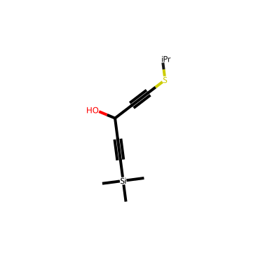 CC(C)SC#CC(O)C#C[Si](C)(C)C